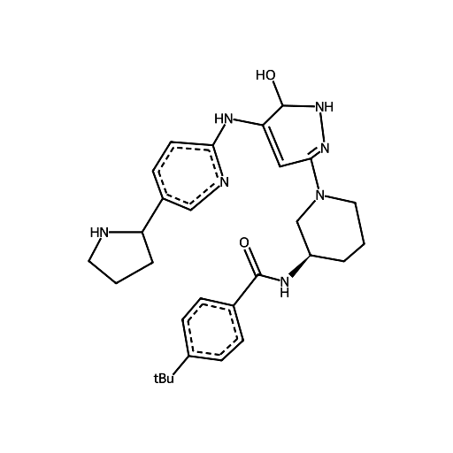 CC(C)(C)c1ccc(C(=O)N[C@@H]2CCCN(C3=NNC(O)C(Nc4ccc(C5CCCN5)cn4)=C3)C2)cc1